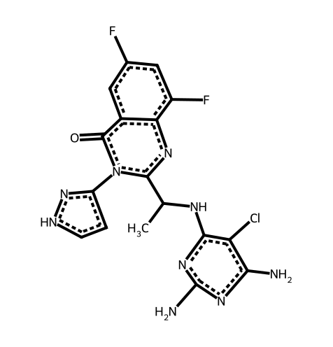 CC(Nc1nc(N)nc(N)c1Cl)c1nc2c(F)cc(F)cc2c(=O)n1-c1cc[nH]n1